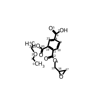 CCOCC.O=C(O)c1ccc(C(=O)OCC2CO2)c(C(=O)O)c1